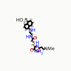 CNCCC(=O)N[C@@H](CSCC(=O)NCCNc1cccc2c(S(=O)(=O)O)cccc12)C(N)=O